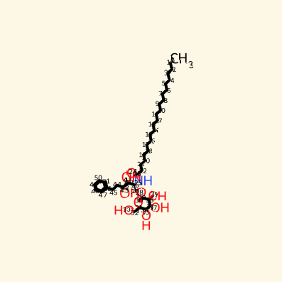 CCCCCCCCCCCCCCCCCCCCCCCC(=O)N[C@@H](COC1OC(CO)C(O)C(O)C1O)[C@H](O)[C@H](O)CCc1ccccc1